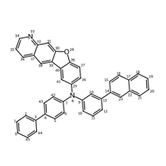 c1ccc(-c2ccc(N(c3cccc(-c4ccc5ccccc5c4)c3)c3ccc4oc5cc6ncccc6cc5c4c3)cc2)cc1